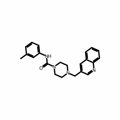 Cc1cccc(NC(=O)N2CCN(Cc3cnc4ccccc4c3)CC2)c1